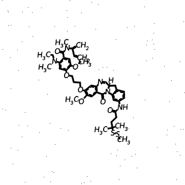 C=CC(=C)N(C)C(=O)c1cc(OC)c(OCCCOc2cc3c(cc2OC)C(=O)N2c4cc(NC(=O)CCC(C)(C)SSC)ccc4C[C@H]2C=N3)cc1N(C)CC